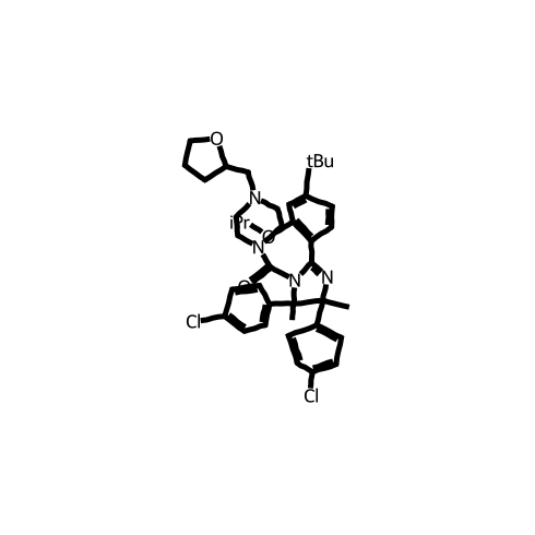 CC(C)Oc1cc(C(C)(C)C)ccc1C1=NC(C)(c2ccc(Cl)cc2)C(C)(c2ccc(Cl)cc2)N1C(=O)N1CCN(CC2CCCO2)CC1